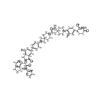 O=C1CCC(c2ccc(N3CCC(O)(CC(=O)N4CCC5(CC4)CN(c4ccc(-c6cc(F)c7c(c6)C(=O)N(C(C(=O)Nc6nccs6)c6ncn8c6CCC8)C7)cc4)C5)CC3)c(F)c2)C(=O)N1